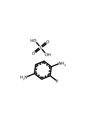 Nc1ccc(N)c(F)c1.O=S(=O)(O)O